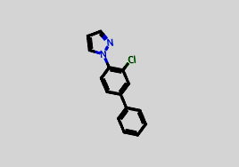 Clc1cc(-c2ccccc2)ccc1-n1cccn1